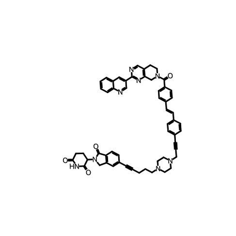 O=C1CCC(N2Cc3cc(C#CCCCN4CCN(CC#Cc5ccc(/C=C/c6ccc(C(=O)N7CCc8cnc(-c9cnc%10ccccc%10c9)nc8C7)cc6)cc5)CC4)ccc3C2=O)C(=O)N1